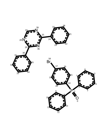 O=P(c1ccccc1)(c1ccccc1)c1ccc(Br)cc1.c1ccc(-c2ncnc(-c3ccccc3)n2)cc1